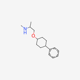 CNC(C)COC1CCC(c2ccccc2)CC1